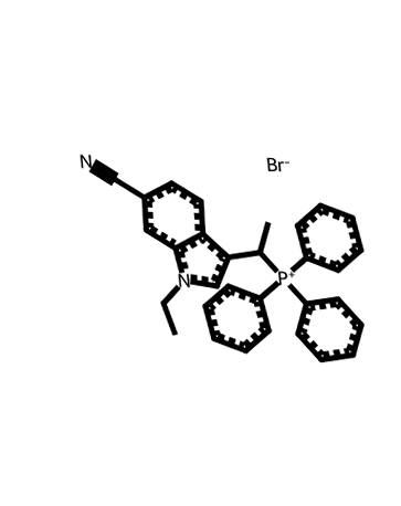 CCn1cc(C(C)[P+](c2ccccc2)(c2ccccc2)c2ccccc2)c2ccc(C#N)cc21.[Br-]